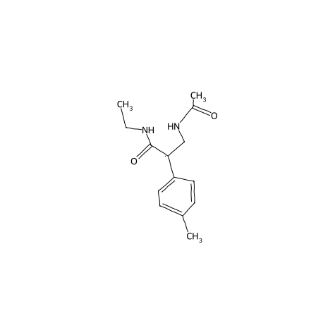 CCNC(=O)[C](CNC(C)=O)c1ccc(C)cc1